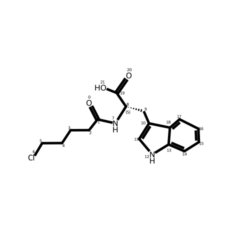 O=C(CCCCCl)N[C@@H](Cc1c[nH]c2ccccc12)C(=O)O